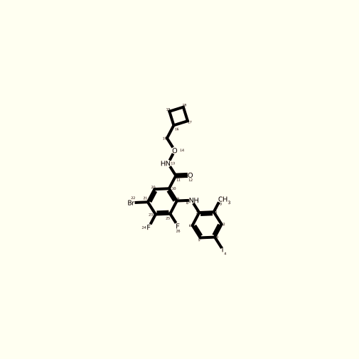 Cc1cc(I)ccc1Nc1c(C(=O)NOCC2CCC2)cc(Br)c(F)c1F